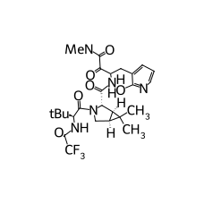 CNC(=O)C(=O)C(Cc1cccnc1O)NC(=O)[C@@H]1[C@@H]2[C@H](CN1C(=O)[C@@H](NC(=O)C(F)(F)F)C(C)(C)C)C2(C)C